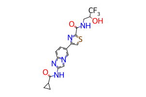 O=C(NCC(O)C(F)(F)F)c1nc(-c2ccc3nc(NC(=O)C4CC4)cn3c2)cs1